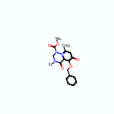 CCN1CN(C(=O)OC(C)(C)C)n2c(C=O)cc(=O)c(OCc3ccccc3)c2C1=O